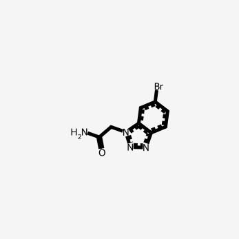 NC(=O)Cn1nnc2ccc(Br)cc21